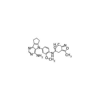 COc1cc(-n2c3c(c4ncnc(N)c42)CCC3)ccc1NC(=O)Cc1c(C)noc1C